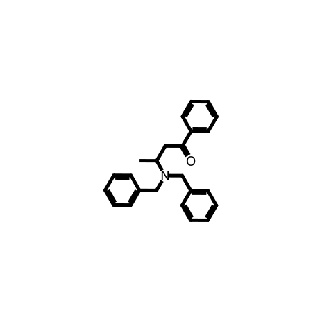 CC(CC(=O)c1ccccc1)N(Cc1ccccc1)Cc1ccccc1